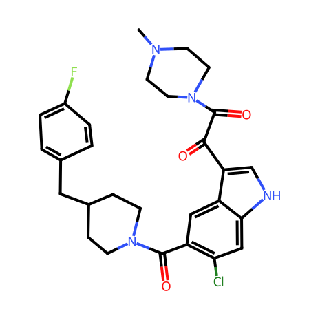 CN1CCN(C(=O)C(=O)c2c[nH]c3cc(Cl)c(C(=O)N4CCC(Cc5ccc(F)cc5)CC4)cc23)CC1